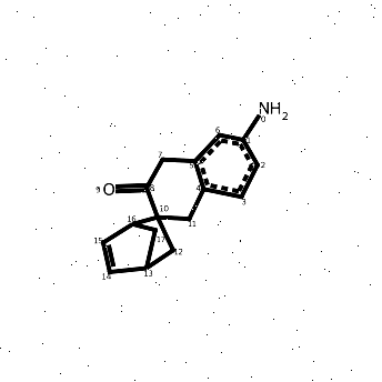 Nc1ccc2c(c1)CC(=O)C1(C2)CC2C=CC1C2